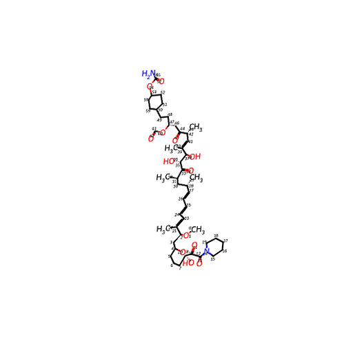 CO[C@@H](CC1CCC[C@](O)(C(=O)C(=O)N2CCCCC2)O1)/C(C)=C/C=C/C=C/[C@@H](C)C[C@@H](C)C(=O)[C@H](O)C(O)/C(C)=C/[C@@H](C)C(=O)C[C@@H](CCC1CCC(OC(N)=O)CC1)OC=O